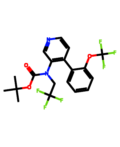 CC(C)(C)OC(=O)N(CC(F)(F)F)c1cnccc1-c1ccccc1OC(F)(F)F